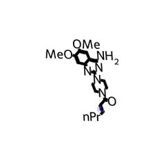 CCC/C=C/C(=O)N1CCN(c2nc(N)c3cc(OC)c(OC)cc3n2)CC1